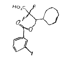 O=C(OC(C1CCCCC1)C(F)(F)C(=O)O)c1cccc(I)c1